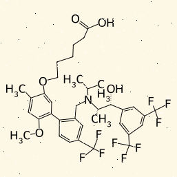 COc1cc(C)c(OCCCCCC(=O)O)cc1-c1ccc(C(F)(F)F)cc1CN(C(C)C)[C@@H](C)[C@H](O)c1cc(C(F)(F)F)cc(C(F)(F)F)c1